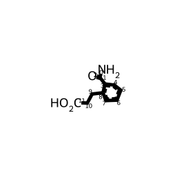 NC(=O)c1ccccc1CCC(=O)O